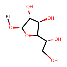 CCO[C@@H]1O[C@H]([C@H](O)CO)[C@H](O)[C@H]1O